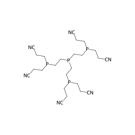 N#CCCP(CCC#N)CCP(CCP(CCC#N)CCC#N)CCP(CCC#N)CCC#N